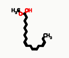 CC/C=C\C/C=C\C/C=C\CCCCCCCC(O)OC